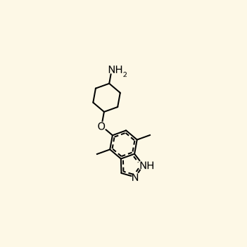 Cc1c(OC2CCC(N)CC2)cc(C)c2[nH]ncc12